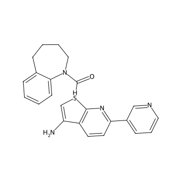 NC1=C[SH](C(=O)N2CCCCc3ccccc32)c2nc(-c3cccnc3)ccc21